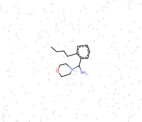 CCCCc1cc[c]cc1C(N)N1CCOCC1